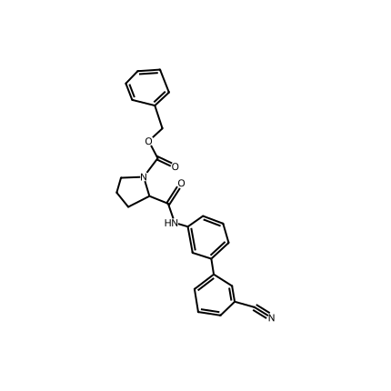 N#Cc1cccc(-c2cccc(NC(=O)C3CCCN3C(=O)OCc3ccccc3)c2)c1